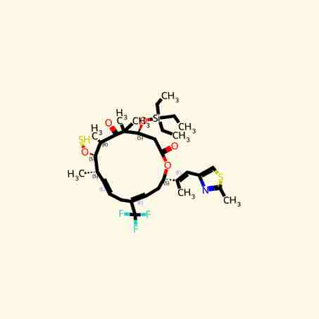 CC[Si](CC)(CC)O[C@H]1CC(=O)O[C@H](/C(C)=C/c2csc(C)n2)C/C=C(/C(F)(F)F)C/C=C/[C@H](C)[C@H](OS)[C@@H](C)C(=O)C1(C)C